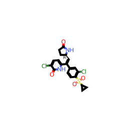 O=C1CC[C@H](C=C(c2ccc(S(=O)(=O)C3CC3)c(Cl)c2)c2ccc(Cl)c(=O)[nH]2)N1